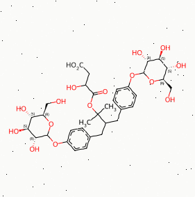 CC(C)(OC(=O)C(O)CC(=O)O)C(Cc1ccc(OC2O[C@H](CO)[C@@H](O)[C@H](O)[C@H]2O)cc1)Cc1ccc(OC2O[C@H](CO)[C@@H](O)[C@H](O)[C@H]2O)cc1